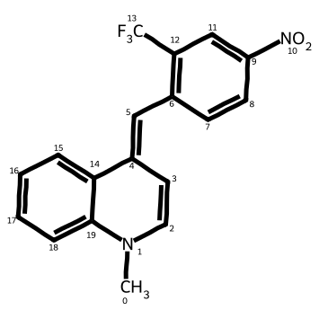 CN1C=CC(=Cc2ccc([N+](=O)[O-])cc2C(F)(F)F)c2ccccc21